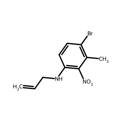 C=CCNc1ccc(Br)c(C)c1[N+](=O)[O-]